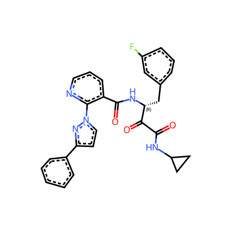 O=C(NC1CC1)C(=O)[C@@H](Cc1cccc(F)c1)NC(=O)c1cccnc1-n1ccc(-c2ccccc2)n1